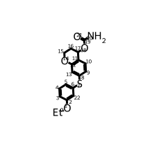 CCOc1cccc(Sc2ccc3c(c2)OCCC3OC(N)=O)c1